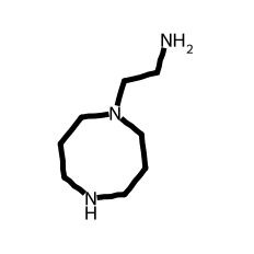 NCCN1CCCNCCC1